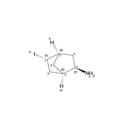 N[C@@H]1C[C@H]2C[C@@H]1C[C@@H]2I